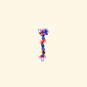 CC(C)(C1CCN(C(=O)COC(=O)N2CCN(c3cnc(-c4c(-c5nn(C(C)(C)C)c6ncnc(N)c56)noc4C4CC4)nc3)CC2)CC1)N1CCN(c2c(F)cc(CN3CCC(=O)NC3=O)cc2F)CC1